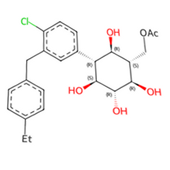 CCc1ccc(Cc2cc([C@H]3[C@H](O)[C@@H](O)[C@H](O)[C@@H](COC(C)=O)[C@@H]3O)ccc2Cl)cc1